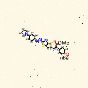 CCCCOc1ccc(/C(=C/c2cc3sc(/N=N/c4ccc(N5CCCC5)cc4)nc3s2)C(=O)OC)cc1